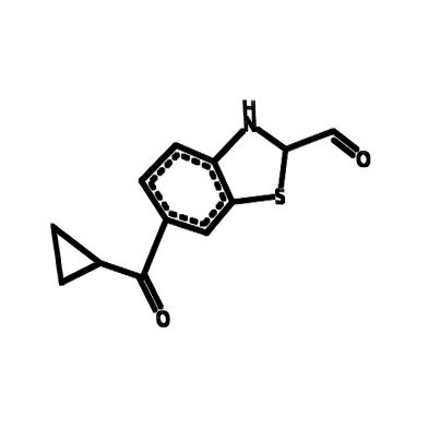 O=CC1Nc2ccc(C(=O)C3CC3)cc2S1